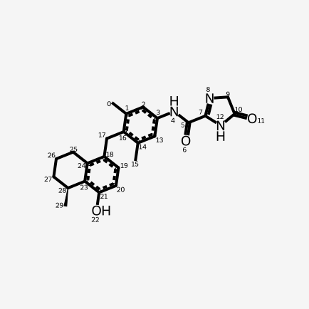 Cc1cc(NC(=O)C2=NCC(=O)N2)cc(C)c1Cc1ccc(O)c2c1CCC[C@@H]2C